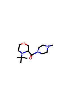 CN1CCN(C(=O)C2COCCN2C(C)(C)C)CC1